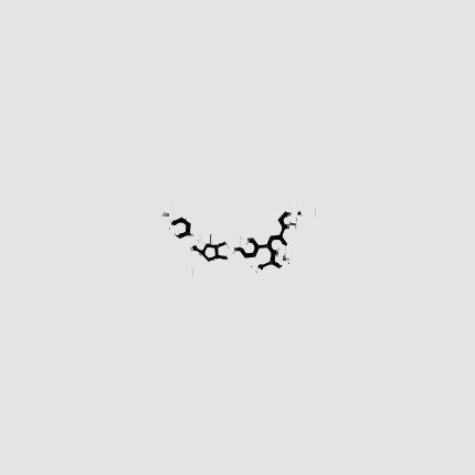 COc1ccc(NC(=O)[C@]2(C)C[C@H]3CN(c4ccc(-c5cc(-c6ccn(C)n6)cn6ncc(C#N)c56)cn4)C[C@H]3C2)cn1